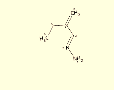 C=C(C=NN)CC